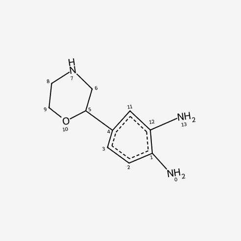 Nc1ccc(C2CNCCO2)cc1N